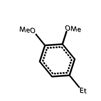 [CH]Cc1ccc(OC)c(OC)c1